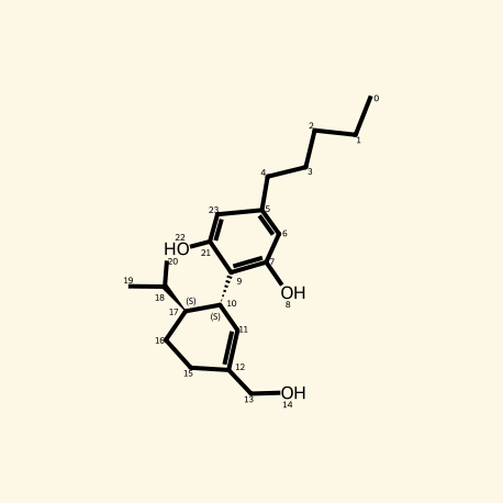 CCCCCc1cc(O)c([C@@H]2C=C(CO)CC[C@H]2C(C)C)c(O)c1